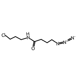 [N-]=[N+]=NCCCC(=O)NCCCCl